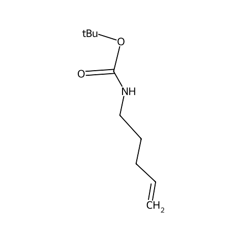 C=CCCCNC(=O)OC(C)(C)C